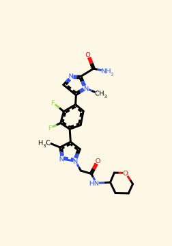 Cc1nn(CC(=O)NC2CCCOC2)cc1-c1ccc(-c2cnc(C(N)=O)n2C)c(F)c1F